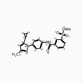 COS(=O)(=O)c1cccc(C(=O)Nc2ccc(-n3nc(C)cc3C3CC3)cc2)c1